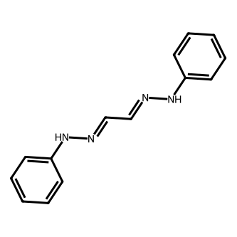 C(C=NNc1ccccc1)=NNc1ccccc1